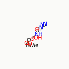 CNS(=O)(=O)c1cccc(OC[C@@H](O)CNC2COC3(CCN(c4ccncn4)CC3)C2)c1